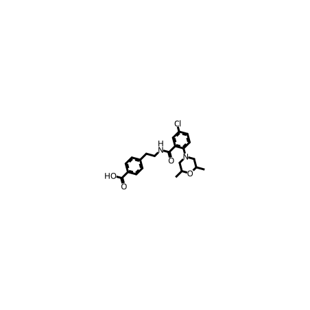 CC1CN(c2ccc(Cl)cc2C(=O)NCCc2ccc(C(=O)O)cc2)CC(C)O1